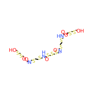 O=C(NCSCCSC/N=C\[S+]([O-])CSCSC(=O)NCSCCSC/N=C\OOCSCSCO)OCSCSCO